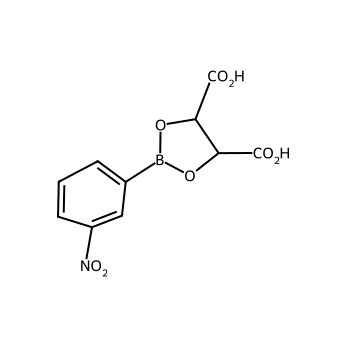 O=C(O)C1OB(c2cccc([N+](=O)[O-])c2)OC1C(=O)O